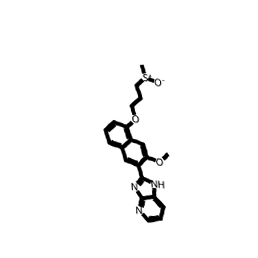 COc1cc2c(OCCC[S+](C)[O-])cccc2cc1-c1nc2ncccc2[nH]1